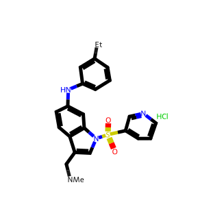 CCc1cccc(Nc2ccc3c(CNC)cn(S(=O)(=O)c4cccnc4)c3c2)c1.Cl